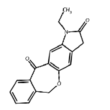 CCN1C(=O)Cc2cc3c(cc21)C(=O)c1ccccc1CO3